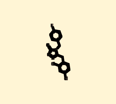 O=c1onc(Cc2ccc(Cl)cc2Cl)n1Cc1ccc(F)cc1